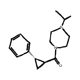 CC(C)N1CCN(C(=O)C2C[C@@H]2c2ccccc2)CC1